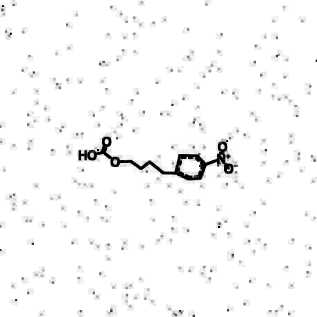 O=C(O)OCCCCc1ccc([N+](=O)[O-])cc1